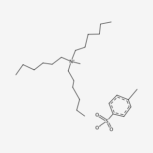 CCCCCC[N+](C)(CCCCCC)CCCCCC.Cc1ccc(S(=O)(=O)[O-])cc1